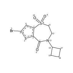 O=C1c2sc(Br)cc2S(=O)(=O)CCN1C1CCC1